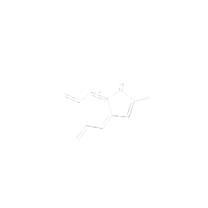 C=C/C=c1/cc(C)[nH]/c1=C/C=C